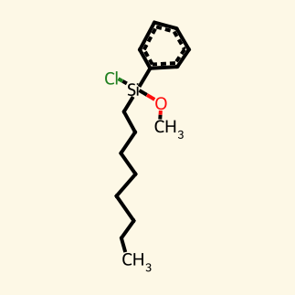 CCCCCCCC[Si](Cl)(OC)c1ccccc1